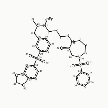 CCCN(CCCCN1CCCN(S(=O)(=O)c2ccccc2)CC1=O)C(C)Cc1cccc(S(=O)(=O)c2ccc3c(c2)OCO3)c1